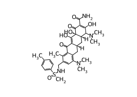 C=S(=O)(NCc1cc(N(C)C)c2c(c1C)C(=O)C1=C(O)[C@]3(O)C(=O)C(C(N)=O)=C(O)C(N(C)C)[C@@H]3C[C@@H]1C2)c1ccc(C)cc1